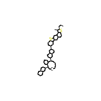 C/C=C\c1sc2ccc3cc4c(cc3c2c1C)sc1ccc(-c2ccc3cc(-c5ccccccc(-c6ccc7ccccc7c6)c6ccccc56)ccc3c2)cc14